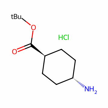 CC(C)(C)OC(=O)[C@H]1CC[C@H](N)CC1.Cl